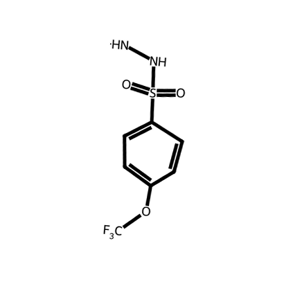 [NH]NS(=O)(=O)c1ccc(OC(F)(F)F)cc1